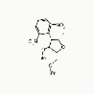 CC(C)OC[C@H]1O[C@@H](C)[C@@H](c2c([N+](=O)[O-])cccc2[N+](=O)[O-])C1OC(C)C